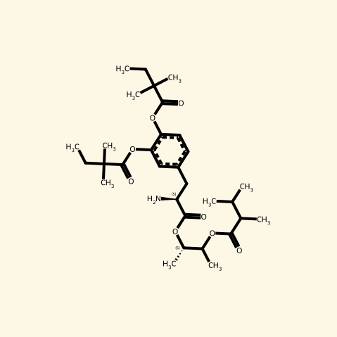 CCC(C)(C)C(=O)Oc1ccc(C[C@H](N)C(=O)O[C@@H](C)C(C)OC(=O)C(C)C(C)C)cc1OC(=O)C(C)(C)CC